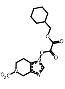 O=C(OCC1CCCCC1)C(=O)On1cnc2c1CCN(C(=O)O)C2